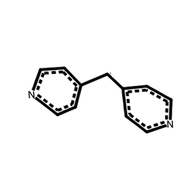 [C](c1ccncc1)c1ccncc1